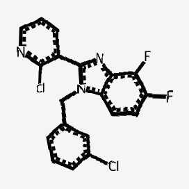 Fc1ccc2c(nc(-c3cccnc3Cl)n2Cc2cccc(Cl)c2)c1F